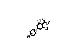 COC(=O)c1c(Cl)cc(N2CC[S+]([O-])CC2)cc1Cl